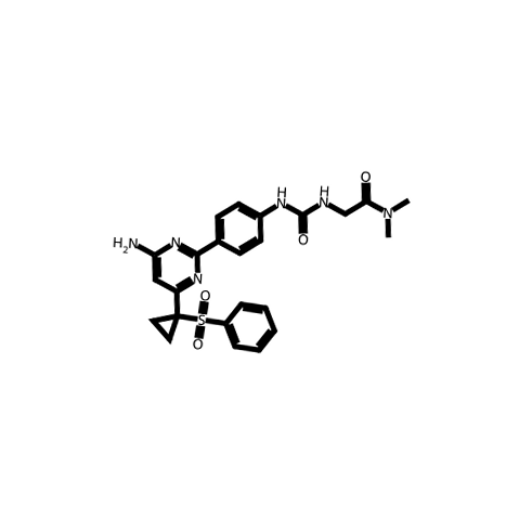 CN(C)C(=O)CNC(=O)Nc1ccc(-c2nc(N)cc(C3(S(=O)(=O)c4ccccc4)CC3)n2)cc1